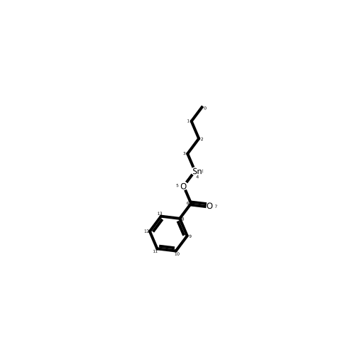 CCC[CH2][Sn][O]C(=O)c1ccccc1